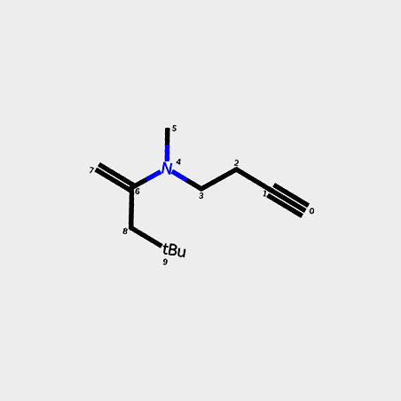 C#CCCN(C)C(=C)CC(C)(C)C